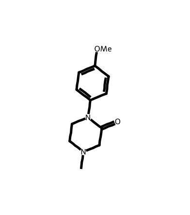 COc1ccc(N2CCN(C)CC2=O)cc1